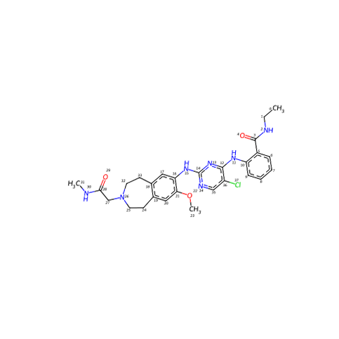 CCNC(=O)c1ccccc1Nc1nc(Nc2cc3c(cc2OC)CCN(CC(=O)NC)CC3)ncc1Cl